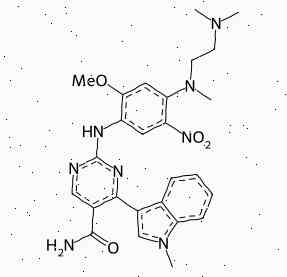 COc1cc(N(C)CCN(C)C)c([N+](=O)[O-])cc1Nc1ncc(C(N)=O)c(-c2cn(C)c3ccccc23)n1